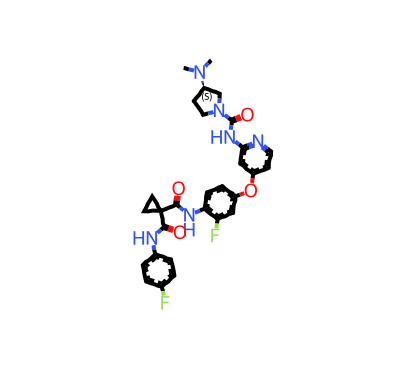 CN(C)[C@H]1CCN(C(=O)Nc2cc(Oc3ccc(NC(=O)C4(C(=O)Nc5ccc(F)cc5)CC4)c(F)c3)ccn2)C1